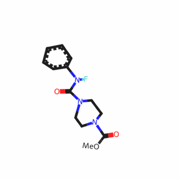 COC(=O)N1CCN(C(=O)N(F)c2ccccc2)CC1